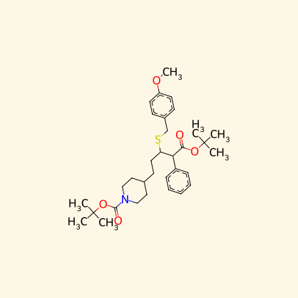 COc1ccc(CSC(CCC2CCN(C(=O)OC(C)(C)C)CC2)C(C(=O)OC(C)(C)C)c2ccccc2)cc1